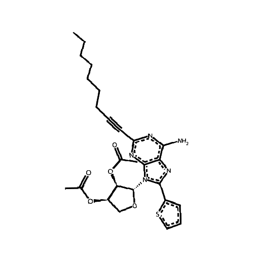 CCCCCCCC#Cc1nc(N)c2nc(-c3cccs3)n([C@@H]3OC[C@@H](OC(C)=O)[C@H]3OC(C)=O)c2n1